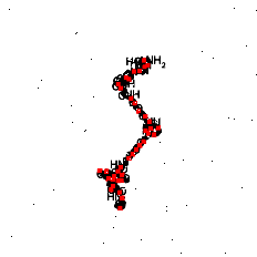 COc1ccc(C(SCCC(=O)NCCCOCCOCCOCCCn2nnc3c2CCCCCC3(F)C(=O)NCCOCCOCCOCCNC(=O)CCC(NC(=O)c2ccc(NCc3cnc4nc(N)nc(O)c4n3)cc2)C(=O)O)(c2ccc(OC)cc2)c2ccc(OC)c(CCC(=O)NCc3ccccc3)c2)cc1